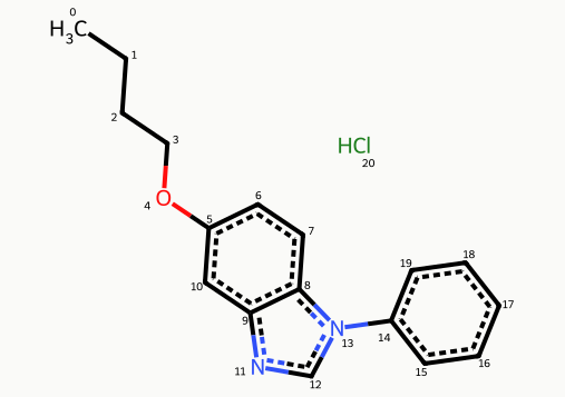 CCCCOc1ccc2c(c1)ncn2-c1ccccc1.Cl